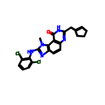 Cn1c(Nc2c(Cl)cccc2Cl)nc2ccc3nc(CC4=CCCC4)[nH]c(=O)c3c21